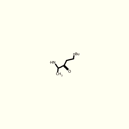 CCCCCCC(=O)C(C)[NH]